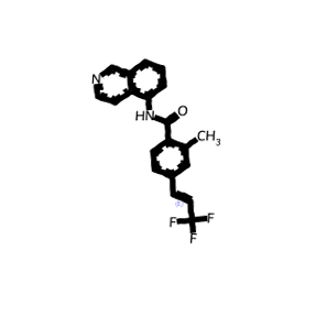 Cc1cc(/C=C/C(F)(F)F)ccc1C(=O)Nc1cccc2cnccc12